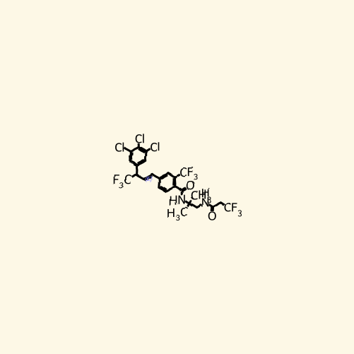 CC(C)(CNC(=O)CC(F)(F)F)NC(=O)c1ccc(/C=C/C(c2cc(Cl)c(Cl)c(Cl)c2)C(F)(F)F)cc1C(F)(F)F